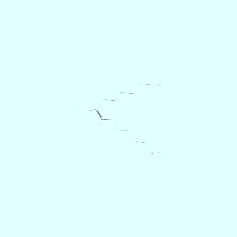 CCCCCCCCCCCCCCC/C(C(=O)O)=C(\CCCCCCCCCCCCCCC)C(=O)O